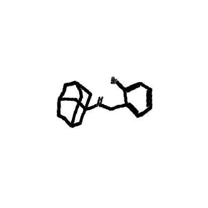 Brc1ccccc1CNC12CC3CC(CC(C3)C1)C2